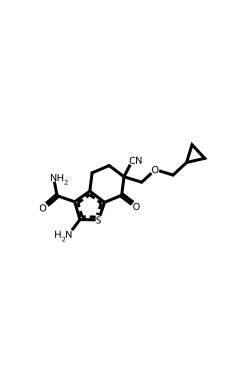 N#CC1(COCC2CC2)CCc2c(sc(N)c2C(N)=O)C1=O